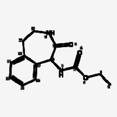 CCOC(=O)NC1C(=O)NCCc2ccccc21